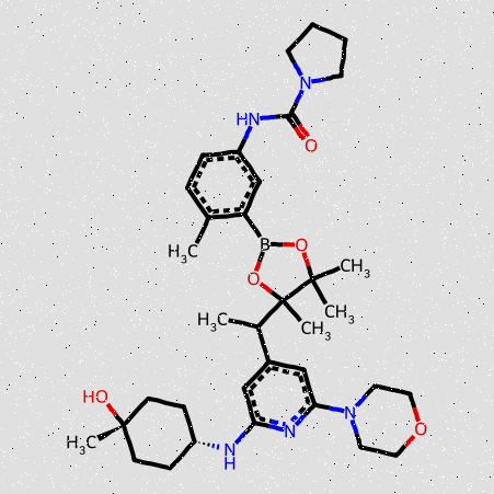 Cc1ccc(NC(=O)N2CCCC2)cc1B1OC(C)(C)C(C)(C(C)c2cc(N[C@H]3CC[C@@](C)(O)CC3)nc(N3CCOCC3)c2)O1